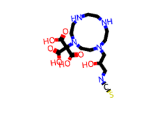 O=C(O)C(C(=O)O)(C(=O)O)N1CCNCCNCCN(CC(O)CN=C=S)CC1